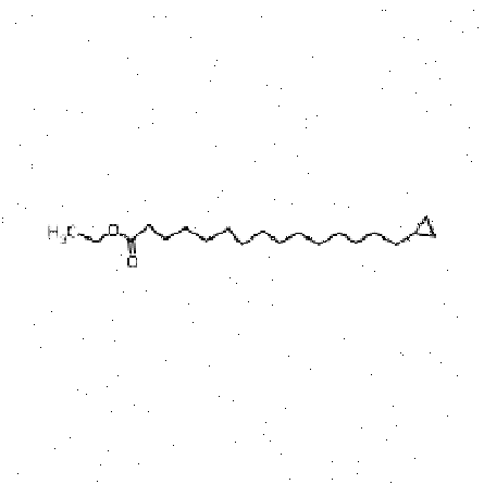 CCOC(=O)CCCCCCCCCCCCCCC1CC1